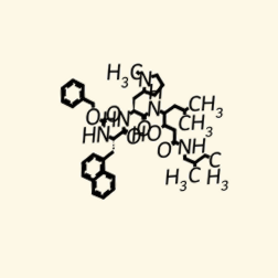 CCC(C)CNC(=O)CC(O)C(CC(C)C)NC(=O)[C@H](CC1CCCN1C)NC(=O)[C@H](Cc1cccc2ccccc12)NC(=O)OCc1ccccc1